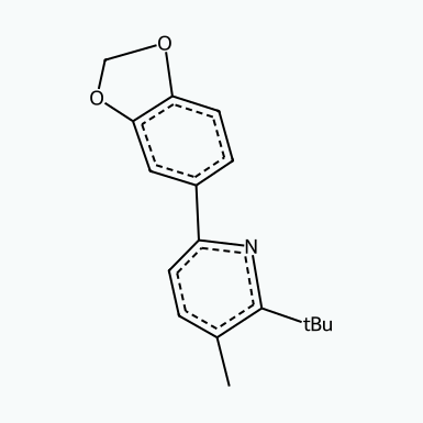 Cc1ccc(-c2ccc3c(c2)OCO3)nc1C(C)(C)C